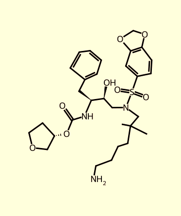 CC(C)(CCCCN)CN(C[C@H](O)[C@H](Cc1ccccc1)NC(=O)O[C@H]1CCOC1)S(=O)(=O)c1ccc2c(c1)OCO2